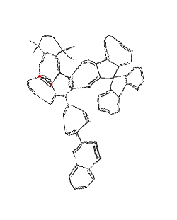 CC1(C)CCC(C)(C)c2c(-c3cc4c(cc3N(c3ccccc3)c3ccc(-c5ccc6ccccc6c5)cc3)C3(c5ccccc5-c5ccccc53)c3ccccc3-4)cccc21